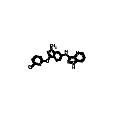 Cn1nc(Oc2cccc(Cl)n2)c2ccc(Nc3n[nH]c4cccnc34)cc21